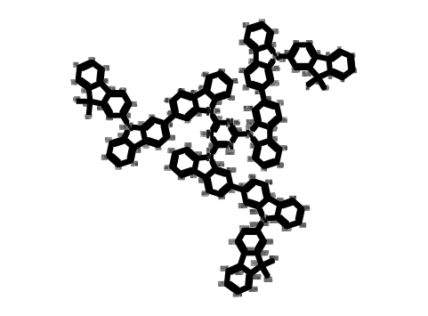 CC1(C)c2ccccc2-c2ccc(-n3c4ccccc4c4ccc(-c5ccc6c7ccccc7n(-c7nc(-n8c9ccccc9c9ccc(-c%10ccc%11c%12ccccc%12n(-c%12ccc%13c(c%12)C(C)(C)c%12ccccc%12-%13)c%11c%10)cc98)nc(-n8c9ccccc9c9ccc(-c%10ccc%11c%12ccccc%12n(-c%12ccc%13c(c%12)C(C)(C)c%12ccccc%12-%13)c%11c%10)cc98)n7)c6c5)cc43)cc21